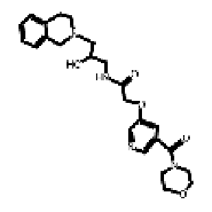 O=C(COc1cncc(C(=O)N2CCOCC2)c1)NCC(O)CN1CCc2ccccc2C1